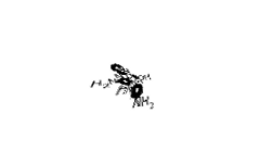 N=C1C=C(N)C(=Nc2c(OCCO)nn3ccccc23)C=C1Nc1ccc(N)cc1